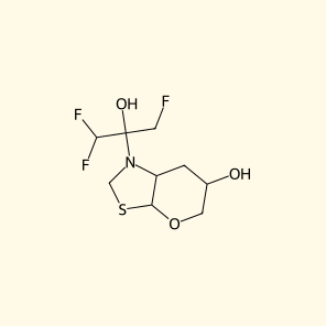 OC1COC2SCN(C(O)(CF)C(F)F)C2C1